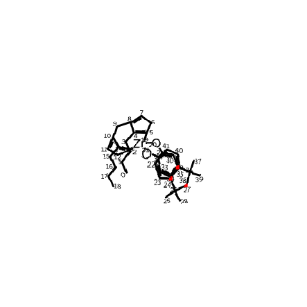 CCCCC1=[C]2CC=C1CC1=CC[C](=C1CCCC)[Zr]2([O]c1ccc(C(C)(C)C)cc1)[O]c1ccc(C(C)(C)C)cc1